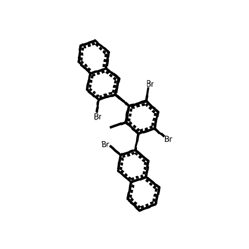 Cc1c(-c2cc3ccccc3cc2Br)c(Br)cc(Br)c1-c1cc2ccccc2cc1Br